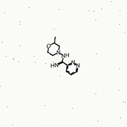 CC1CN(NC(=N)c2cccnn2)CCO1